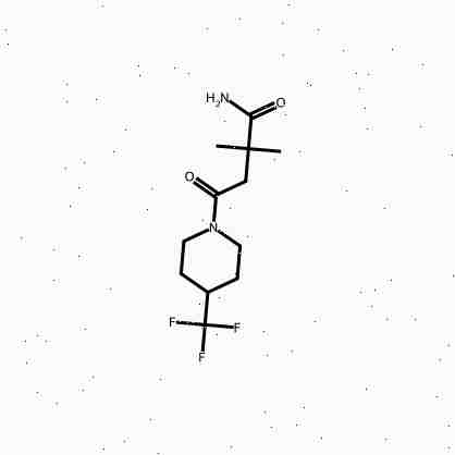 CC(C)(CC(=O)N1CCC(C(F)(F)F)CC1)C(N)=O